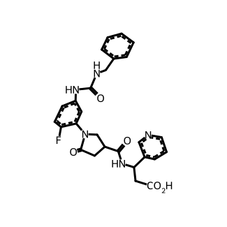 O=C(O)CC(NC(=O)C1CC(=O)N(c2cc(NC(=O)NCc3ccccc3)ccc2F)C1)c1cccnc1